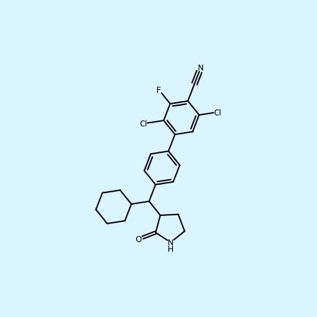 N#Cc1c(Cl)cc(-c2ccc(C(C3CCCCC3)C3CCNC3=O)cc2)c(Cl)c1F